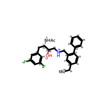 CC(=O)N[C@@H](Cc1cc(F)cc(F)c1)[C@H](O)CNCc1cc(CC(C)(C)C)ccc1-c1ccccc1